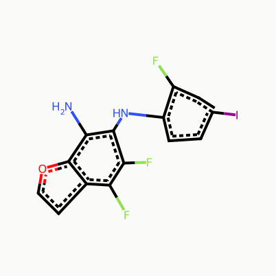 Nc1c(Nc2ccc(I)cc2F)c(F)c(F)c2ccoc12